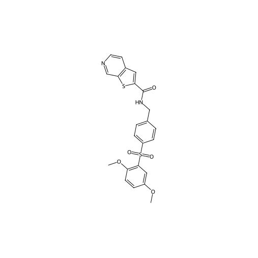 COc1ccc(OC)c(S(=O)(=O)c2ccc(CNC(=O)c3cc4ccncc4s3)cc2)c1